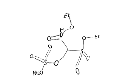 CCO[PH](=O)C(OS(=O)(=O)OC)S(=O)(=O)OCC